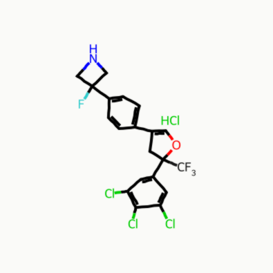 Cl.FC1(c2ccc(C3=COC(c4cc(Cl)c(Cl)c(Cl)c4)(C(F)(F)F)C3)cc2)CNC1